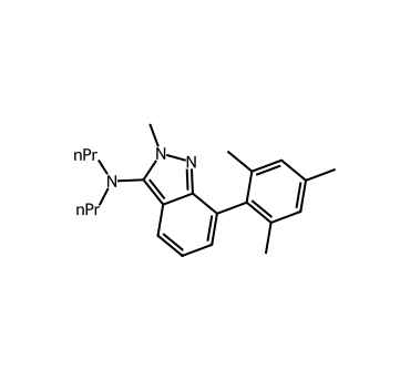 CCCN(CCC)c1c2cccc(-c3c(C)cc(C)cc3C)c2nn1C